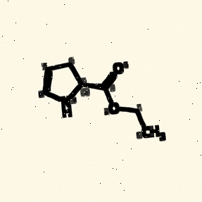 CCOC(=O)[C@@H]1CC=CN1